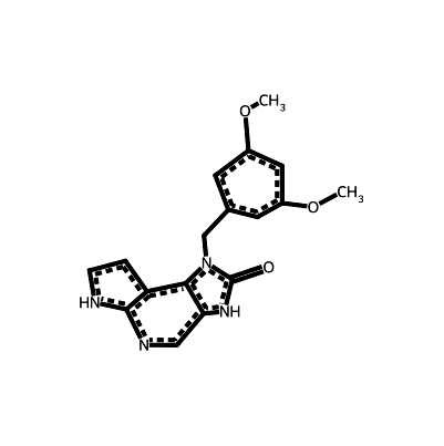 COc1cc(Cn2c(=O)[nH]c3cnc4[nH]ccc4c32)cc(OC)c1